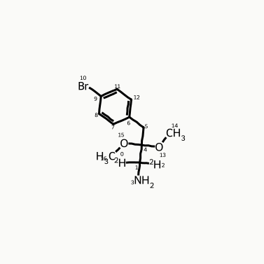 [2H]C([2H])(N)C(Cc1ccc(Br)cc1)(OC)OC